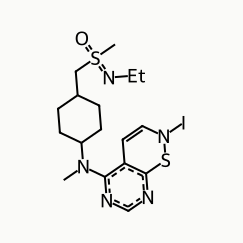 CCN=S(C)(=O)CC1CCC(N(C)c2ncnc3c2C=CN(I)S3)CC1